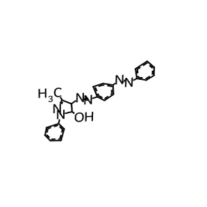 CC1=NN(c2ccccc2)C(O)C1N=Nc1ccc(N=Nc2ccccc2)cc1